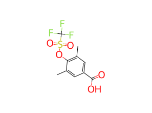 Cc1cc(C(=O)O)cc(C)c1OS(=O)(=O)C(F)(F)F